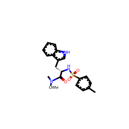 CON(C)C(=O)[C@H](Cc1c[nH]c2ccccc12)NS(=O)(=O)c1ccc(C)cc1